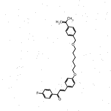 C=C(C)c1ccc(COCCCCCCOc2ccc(C=CC(=O)c3ccc(F)cc3)cc2)cc1